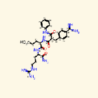 N=C(N)NCCCC(NC(=O)C(CCC(=O)O)NC(=O)[C@H](Cc1ccc(C(=N)N)cc1)C(=O)Nc1ccccc1)C(N)=O